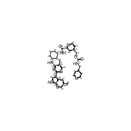 O=C(NCc1ccncc1)OCc1ccnc(C(=O)N[C@H]2CCC[C@@H](Nc3nc(-c4c[nH]c5ncc(F)cc45)ncc3F)C2)c1